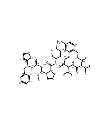 CC[C@H](C)[C@@H]([C@H](CC(=O)N1CCC[C@H]1[C@H](OC)[C@@H](C)C(=O)N[C@@H](Cc1ccccc1)c1nccs1)OC)N(C)C(=O)[C@@H](NC(=O)[C@H](C(C)C)N(C)CCc1ccc(N)cc1)C(C)C